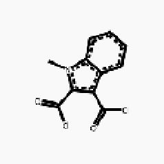 Cn1c(C(=O)Cl)c(C(=O)Cl)c2ccccc21